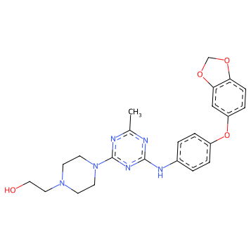 Cc1nc(Nc2ccc(Oc3ccc4c(c3)OCO4)cc2)nc(N2CCN(CCO)CC2)n1